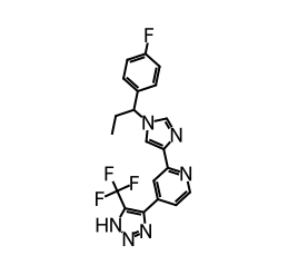 CCC(c1ccc(F)cc1)n1cnc(-c2cc(-c3nn[nH]c3C(F)(F)F)ccn2)c1